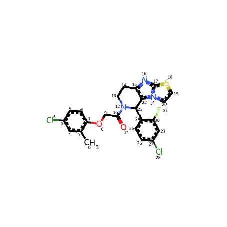 Cc1cc(Cl)ccc1OCC(=O)N1CCc2nc3sccn3c2C1c1ccc(Cl)cc1F